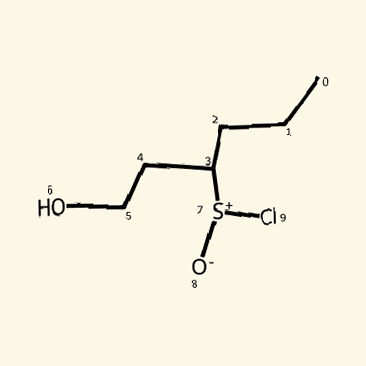 CCCC(CCO)[S+]([O-])Cl